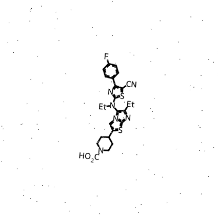 CCc1nc2sc(C3CCN(C(=O)O)CC3)cn2c1N(CC)c1nc(-c2ccc(F)cc2)c(C#N)s1